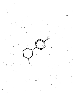 CC1CCCN(c2ccc(F)cc2)C1